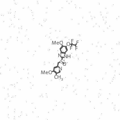 COc1cc(C[S+]([O-])c2nc3cc(OC)c(OC(F)(F)C(F)F)cc3[nH]2)ncc1C